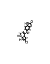 O=c1[nH]c2ccc(NC3=NCNc4[nH]c(Cl)cc43)cc2s1